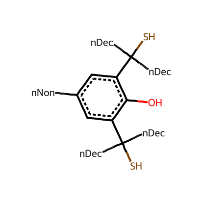 CCCCCCCCCCC(S)(CCCCCCCCCC)c1cc(CCCCCCCCC)cc(C(S)(CCCCCCCCCC)CCCCCCCCCC)c1O